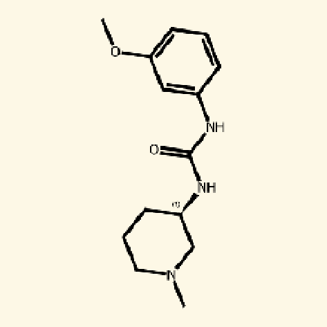 COc1cccc(NC(=O)N[C@@H]2CCCN(C)C2)c1